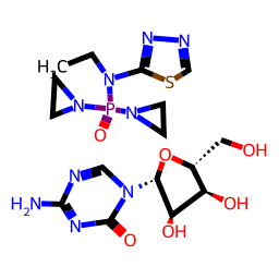 CCN(c1nncs1)P(=O)(N1CC1)N1CC1.Nc1ncn([C@@H]2O[C@H](CO)[C@@H](O)[C@H]2O)c(=O)n1